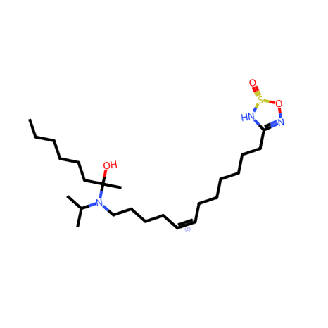 CCCCCCC(C)(O)N(CCCC/C=C\CCCCCCC1=NOS(=O)N1)C(C)C